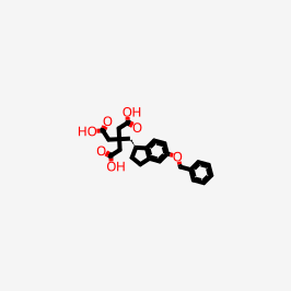 O=C(O)CC(CC(=O)O)(CC(=O)O)C[C@H]1CCc2cc(OCc3ccccc3)ccc21